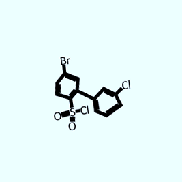 O=S(=O)(Cl)c1ccc(Br)cc1-c1cccc(Cl)c1